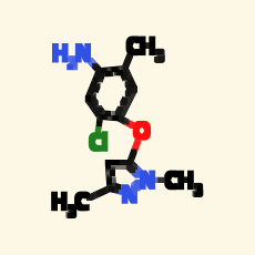 Cc1cc(Oc2cc(C)c(N)cc2Cl)n(C)n1